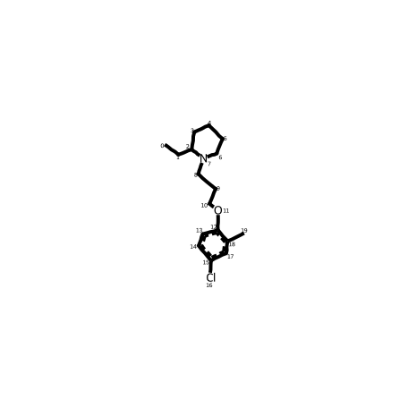 CCC1CCCCN1CCCOc1ccc(Cl)cc1C